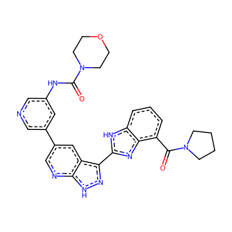 O=C(Nc1cncc(-c2cnc3[nH]nc(-c4nc5c(C(=O)N6CCCC6)cccc5[nH]4)c3c2)c1)N1CCOCC1